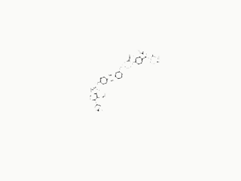 CC(C)Oc1c(-c2cn[nH]c2)ncn2nc(Nc3ccc(S(=O)(=O)c4cccc(CN5CCN(c6ccc7c(N8CCC(=O)NC8=O)nn(C)c7c6)[C@H](C(C)C)C5)c4)cc3F)nc12